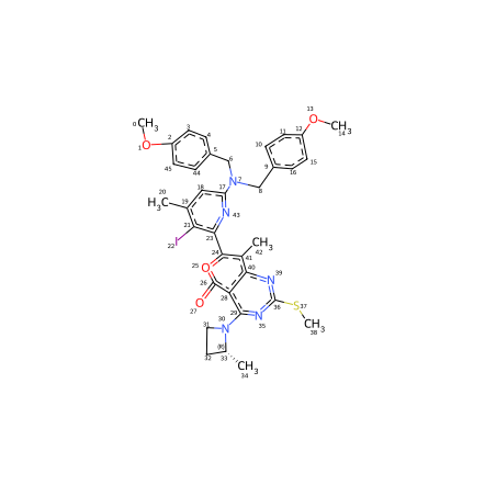 COc1ccc(CN(Cc2ccc(OC)cc2)c2cc(C)c(I)c(-c3oc(=O)c4c(N5CC[C@H]5C)nc(SC)nc4c3C)n2)cc1